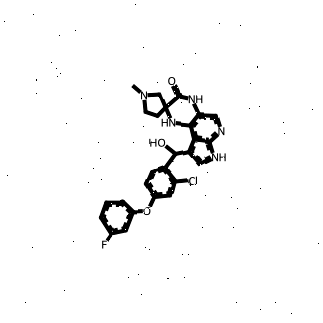 CN1CCC2(C1)Nc1c(cnc3[nH]cc(C(O)c4ccc(Oc5cccc(F)c5)cc4Cl)c13)NC2=O